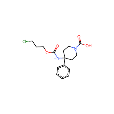 O=C(NC1(c2ccccc2)CCN(C(=O)O)CC1)OCCCCl